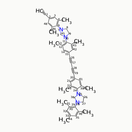 C#Cc1cc(C)c(N2CCN(c3c(C)cc(C#CC#Cc4cc(C)c(N5CCN(c6c(C)cc(C)cc6C)C5)c(C)c4)cc3C)C2)c(C)c1